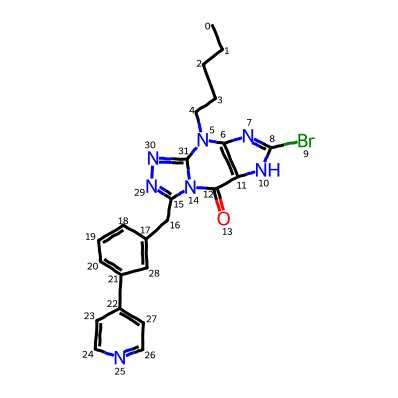 CCCCCn1c2nc(Br)[nH]c2c(=O)n2c(Cc3cccc(-c4ccncc4)c3)nnc12